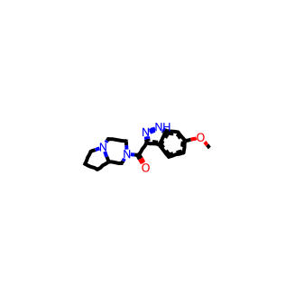 COc1ccc2c(C(=O)N3CCN4CCCC4C3)n[nH]c2c1